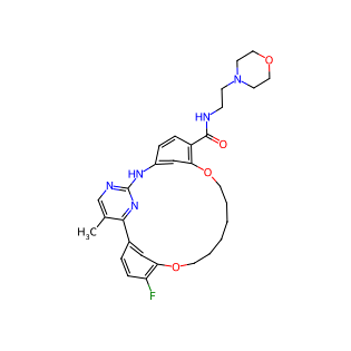 Cc1cnc2nc1-c1ccc(F)c(c1)OCCCCCCOc1cc(ccc1C(=O)NCCN1CCOCC1)N2